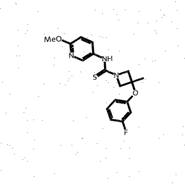 COc1ccc(NC(=S)N2CC(C)(Oc3cccc(F)c3)C2)cn1